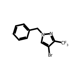 FC(F)(F)c1nn(Cc2cc[c]cc2)cc1Br